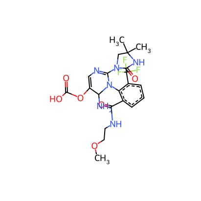 COCCNC(=O)c1cccc(C(F)(F)F)c1N1C(N2CC(C)(C)NC2=O)=NC=C(OC(=O)O)C1N